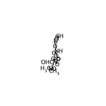 CN(C)C(=O)CCC(C=O)N1C(=O)c2cccc(OCC(=O)NCCOCCN3CCN(S)CC3)c2C1=O